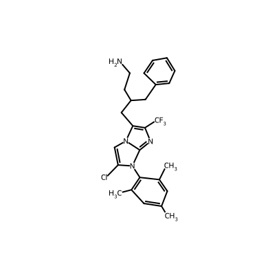 Cc1cc(C)c(-n2c(Cl)cn3c(CC(CCN)Cc4ccccc4)c(C(F)(F)F)nc23)c(C)c1